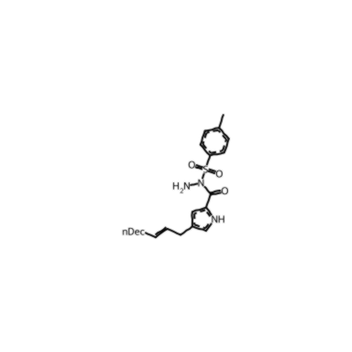 CCCCCCCCCC/C=C/Cc1c[nH]c(C(=O)N(N)S(=O)(=O)c2ccc(C)cc2)c1